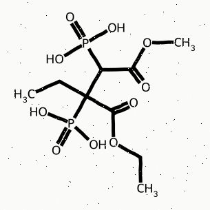 CCOC(=O)C(CC)(C(C(=O)OC)P(=O)(O)O)P(=O)(O)O